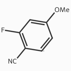 COc1c[c]c(C#N)c(F)c1